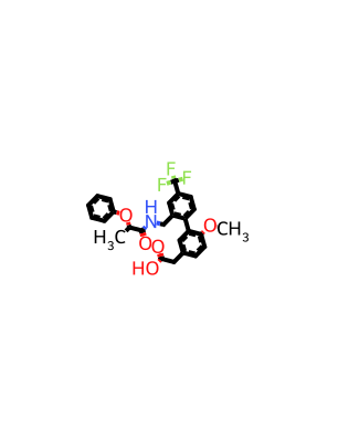 COc1ccc(CC(=O)O)cc1-c1ccc(C(F)(F)F)cc1CNC(=O)C(C)Oc1ccccc1